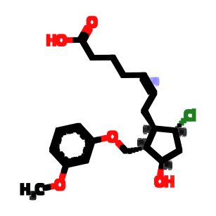 COc1cccc(OC[C@@H]2[C@@H](C/C=C\CCCC(=O)O)[C@H](Cl)C[C@H]2O)c1